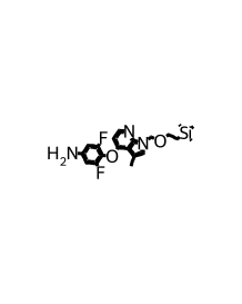 Cc1cn(COCC[Si](C)(C)C)c2nccc(Oc3c(F)cc(N)cc3F)c12